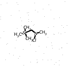 CN(Cl)C[Si](C)(C)C